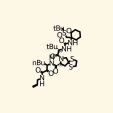 C=CCNC(=O)C(=O)C(CCCC)NC(=O)[C@@H]1CC2(CN1C(=O)[C@@H](NC(=O)NC1(CS(=O)(=O)C(C)(C)C)CCCCC1)C(C)(C)C)SCCS2